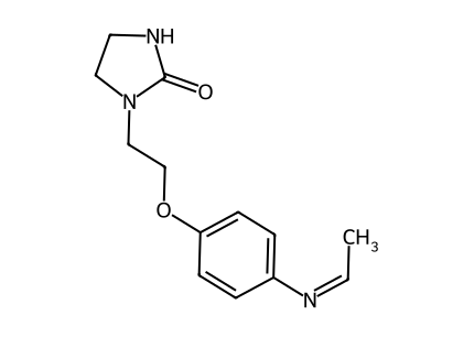 C/C=N\c1ccc(OCCN2CCNC2=O)cc1